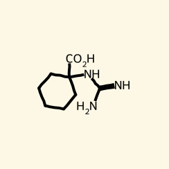 N=C(N)NC1(C(=O)O)CCCCC1